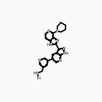 CCNCc1cncc(-c2cnc3[nH]nc(-c4nc5c(N6CCCCC6)nccc5[nH]4)c3c2)c1